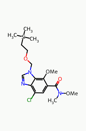 COc1c(C(=O)N(C)OC)cc(Cl)c2ncn(COCC[Si](C)(C)C)c12